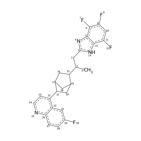 CC(Cc1nc2c(F)c(F)cc(F)c2[nH]1)C1CC2CC1CC2c1ccnc2ccc(F)cc12